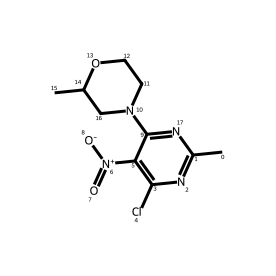 Cc1nc(Cl)c([N+](=O)[O-])c(N2CCOC(C)C2)n1